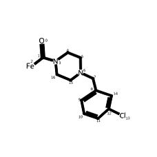 O=[C]([Fe])N1CCN(Cc2cccc(Cl)c2)CC1